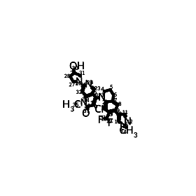 Cc1c(N2CCCc3cc(-c4cnn(C)c4)c(C(F)F)cc32)c2cnc(N3CCC(O)C3)cc2n(C)c1=O